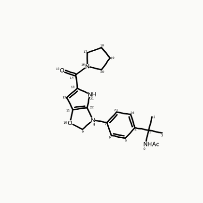 CC(=O)NC(C)(C)c1ccc(N2COc3cc(C(=O)N4CCCC4)[nH]c32)cc1